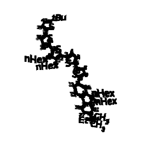 CCCCCCc1c(-c2ccc(-c3ccc(-c4ccc5c(c4)C(CCCCCC)(CCCCCC)c4cc(C(C)(C)CC)ccc4-5)s3)s2)sc(-c2ccc(-c3ccc(C(C)(C)C)s3)s2)c1CCCCCC